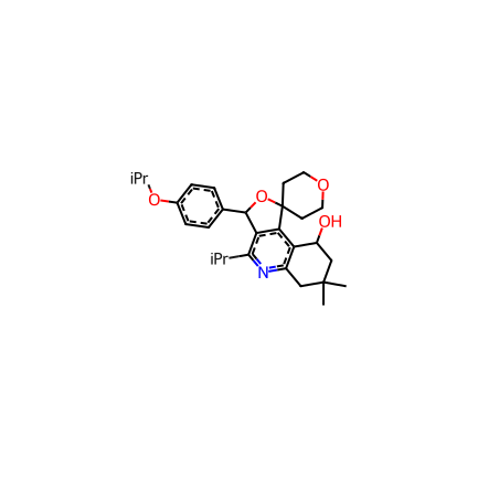 CC(C)Oc1ccc(C2OC3(CCOCC3)c3c4c(nc(C(C)C)c32)CC(C)(C)CC4O)cc1